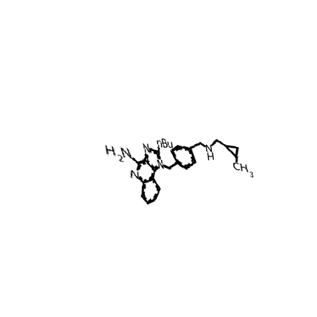 CCCCc1nc2c(N)nc3ccccc3c2n1Cc1ccc(CNCC2CC2C)cc1